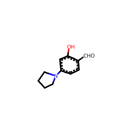 O=Cc1ccc(N2CCCC2)cc1O